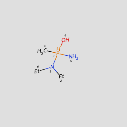 CCN(CC)[PH](C)(N)O